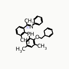 C/C(=N\c1ccccc1)c1cccc(C)c1Pc1cc(C)cc(C)c1OCC1C=CC=CC1